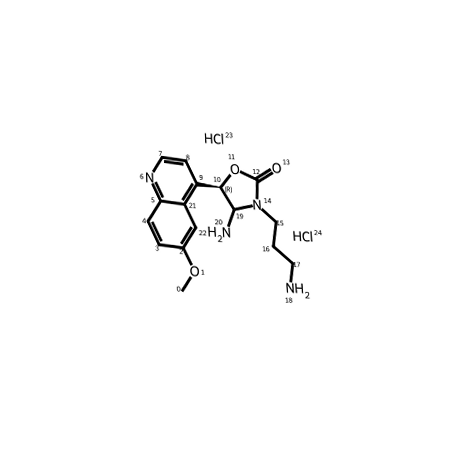 COc1ccc2nccc([C@H]3OC(=O)N(CCCN)C3N)c2c1.Cl.Cl